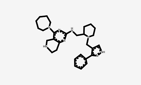 c1ccc(-c2n[nH]cc2CN2CCCCC2CNc2nc3c(c(N4CCCCCC4)n2)CNCC3)cc1